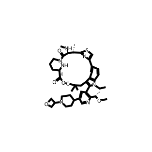 CCn1c(-c2cc(C3CCN(C4COC4)CC3)cnc2[C@H](C)OC)c2c3cc(ccc31)-c1csc(n1)[C@@H](C)[C@H](NC)C(=O)N1CCC[C@H](N1)C(=O)OCC(C)(C)C2